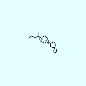 CCCC(C)N1CCN(C2CCC(OC)C2)CC1